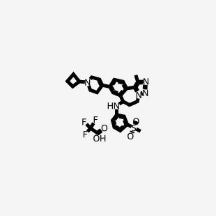 Cc1nnn2c1-c1ccc(C3=CCN(C4CCC4)CC3)cc1C(Nc1cccc(S(C)(=O)=O)c1)CC2.O=C(O)C(F)(F)F